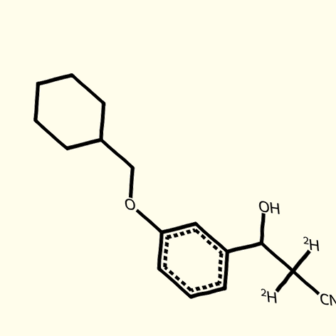 [2H]C([2H])(C#N)C(O)c1cccc(OCC2CCCCC2)c1